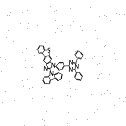 c1ccc(-c2nc(-c3ccccc3)nc(-c3ccc(-n4c(-n5c6ccccc6c6ccccc65)nc5cc6c(cc54)sc4ccccc46)cc3)n2)cc1